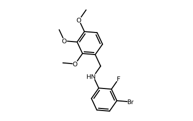 COc1ccc(CNc2cccc(Br)c2F)c(OC)c1OC